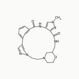 Cn1cc2c(n1)C(=O)NCC1CN(CCO1)CCn1cc(cn1)-c1cccc(c1)C(=O)N2